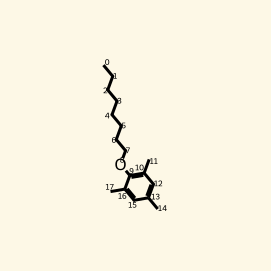 CCCCCCCCOc1c(C)cc(C)cc1C